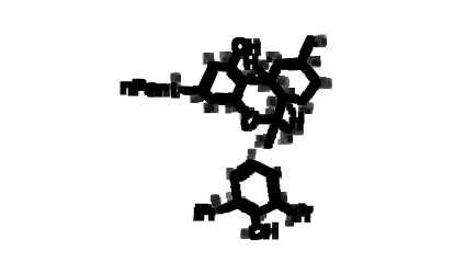 CC(C)c1cccc(C(C)C)c1O.CCCCCc1cc(O)c2c(c1)OC(C)(C)[C@@H]1CCC(C)=C[C@@H]21